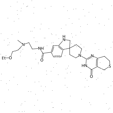 CCOCCN(C)CCNC(=O)c1ccc2c(c1)NCC21CCN(c2nc3c(c(=O)[nH]2)CSCC3)CC1